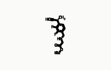 C#C[C@H](C)c1ccc(CNCC(=O)OC(C)(C)C)c(F)c1F